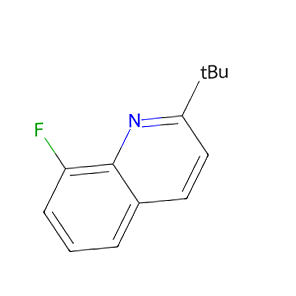 CC(C)(C)c1ccc2cccc(F)c2n1